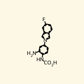 Nc1cc(-n2cc3ccc(F)cc3c2)ccc1NC(=O)O